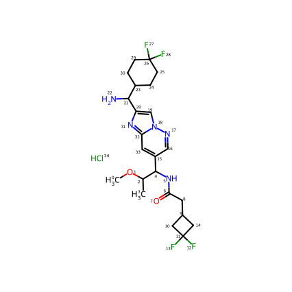 COC(C)C(NC(=O)CC1CC(F)(F)C1)c1cnn2cc(C(N)C3CCC(F)(F)CC3)nc2c1.Cl